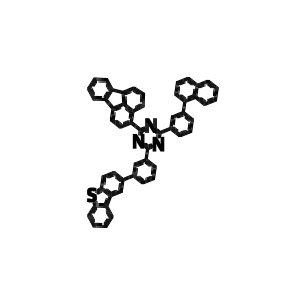 c1cc(-c2ccc3sc4ccccc4c3c2)cc(-c2nc(-c3cccc(-c4cccc5ccccc45)c3)nc(-c3ccc4c5c(cccc35)-c3ccccc3-4)n2)c1